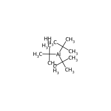 C[C](C)(C)[Al]([C](C)(C)C)[C](C)(C)C.[HH]